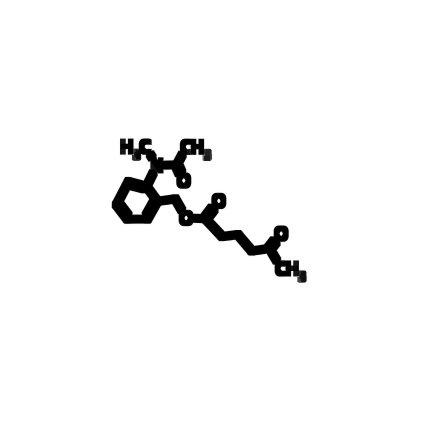 CC(=O)CCCC(=O)OCc1ccccc1N(C)C(C)=O